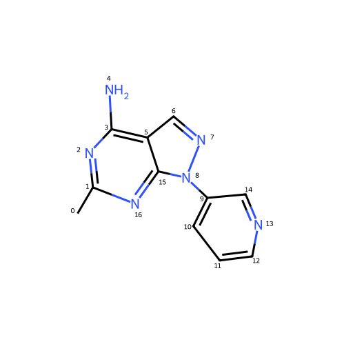 Cc1nc(N)c2cnn(-c3cccnc3)c2n1